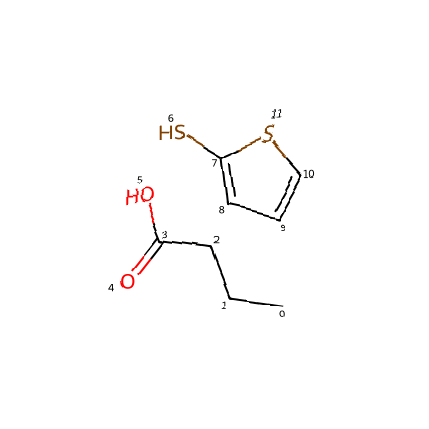 CCCC(=O)O.Sc1cccs1